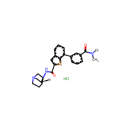 CCN(C)C(=O)c1cccc(-c2cccc3cc(C(=O)N[C@H]4CN5CCC4CC5)sc23)c1.Cl